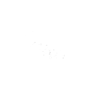 CC(C)(C)OC(=O)NCc1cn2ncc(CN)cc2n1